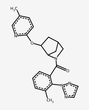 Cc1ccc(OC2CC3CC2N(C(=O)c2cccc(C)c2-n2nccn2)C3)nc1